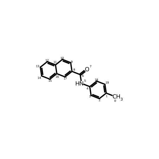 Cc1ccc(NC(=O)c2ccc3ccccc3c2)cc1